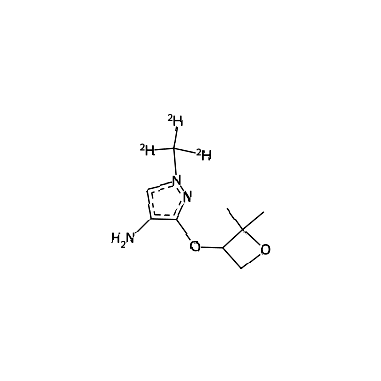 [2H]C([2H])([2H])n1cc(N)c(OC2COC2(C)C)n1